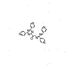 O=C(C/N=C(\N=C\c1ccncc1)c1ccncc1)c1nc(-c2ccncc2)nc(-c2ccncc2)n1